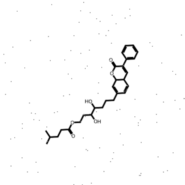 CC(C)CCC(=O)OCCC(O)C(O)CCCC1=CC2OC(=O)C(c3ccccc3)=CC2C=C1